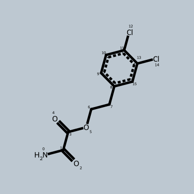 NC(=O)C(=O)OCCc1ccc(Cl)c(Cl)c1